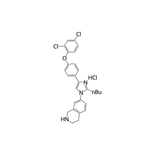 CCCCc1nc(-c2ccc(Oc3ccc(Cl)cc3Cl)cc2)cn1-c1ccc2c(c1)CNCC2.Cl